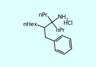 CCCCCCC(Cc1ccccc1)C(N)(CCC)CCC.Cl